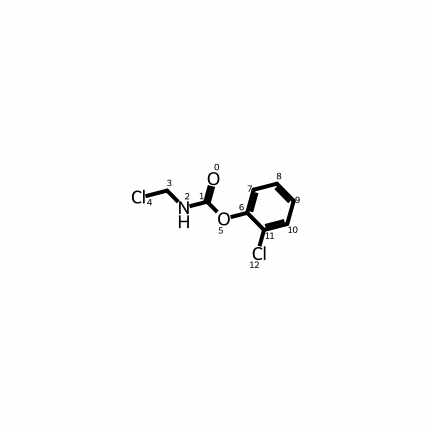 O=C(NCCl)Oc1ccccc1Cl